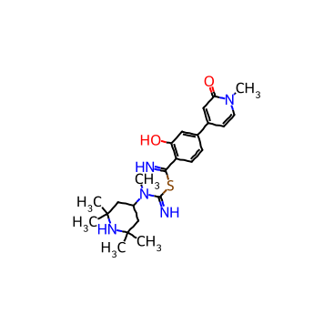 CN(C(=N)SC(=N)c1ccc(-c2ccn(C)c(=O)c2)cc1O)C1CC(C)(C)NC(C)(C)C1